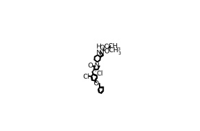 CC(C)(C)OC(=O)n1cc2c(n1)CCC(N1CC[C@@H](Cc3c(Cl)cc(OCc4ccccc4)cc3Cl)C1=O)C2